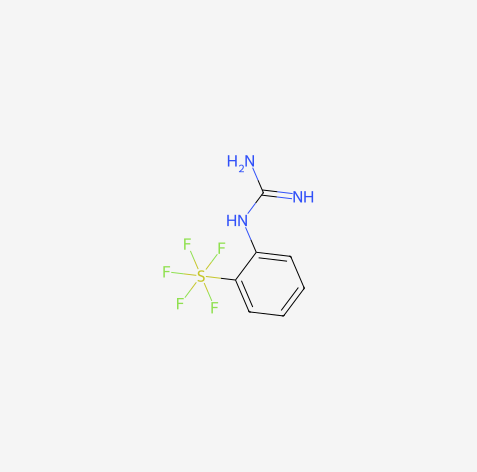 N=C(N)Nc1ccccc1S(F)(F)(F)(F)F